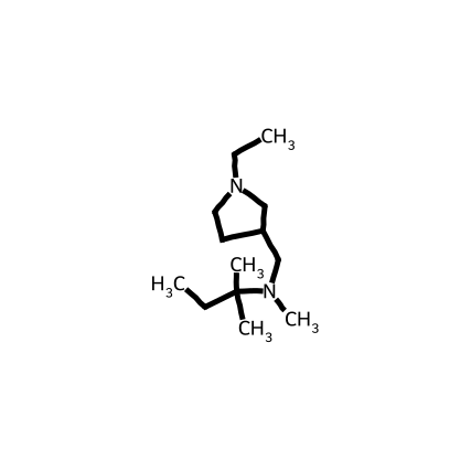 CCN1CCC(CN(C)C(C)(C)CC)C1